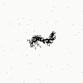 CCC(C(C)(C)C(=O)O)C(CC)(NC(=O)[C@H](N)CC(N)=O)c1ccc2nc3c(cc2c1)Cn1c-3cc2c(c1=O)COC(=O)C2OC(=O)C(F)(F)F